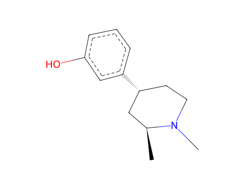 C[C@H]1C[C@H](c2cccc(O)c2)CCN1C